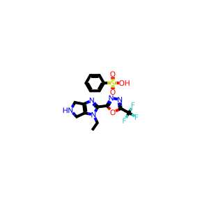 CCn1c(-c2nnc(C(F)(F)F)o2)nc2c1CNC2.O=S(=O)(O)c1ccccc1